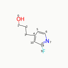 OCCCc1ccnc(F)c1